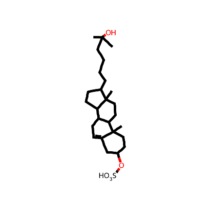 CC(C)(O)CCCCC1CCC2C3CC=C4CC(OS(=O)(=O)O)CCC4(C)C3CCC12C